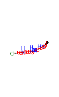 O=C(CCc1cn(CCOCCOCCOCCNC(=O)COc2ccc(C34CC5CC(CC(C5)C3)C4)cc2)nn1)NCCOCCOCCOCC(=O)NCCOCCOCCCCCCCl